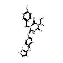 C[C@H](CO)n1c(=O)[nH]/c(=N\c2ccc(Oc3ccon3)cc2)n(Cc2ccc(Cl)cc2)c1=O